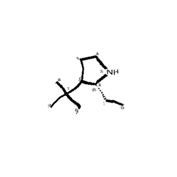 CC[C@H]1NCCC1C(C)(C)C